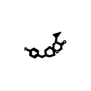 O=C1COC2(CCN(Cc3ccc(F)cc3)CC2)CN1C1CC1